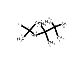 CC(C)(I)NC(C)(C)C(C)(C)S